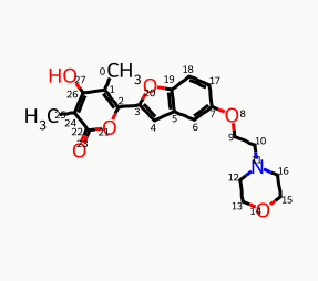 Cc1c(-c2cc3cc(OCCN4CCOCC4)ccc3o2)oc(=O)c(C)c1O